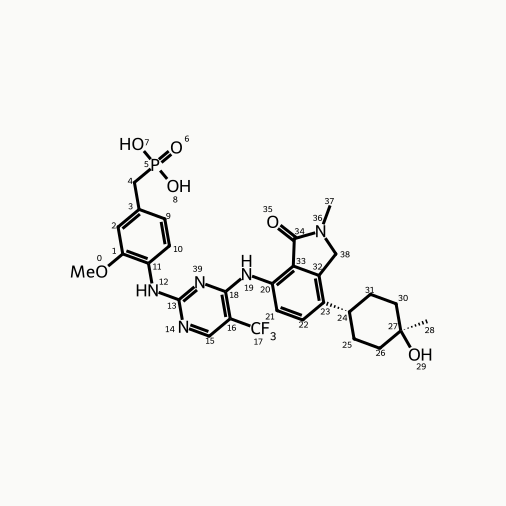 COc1cc(CP(=O)(O)O)ccc1Nc1ncc(C(F)(F)F)c(Nc2ccc([C@H]3CC[C@](C)(O)CC3)c3c2C(=O)N(C)C3)n1